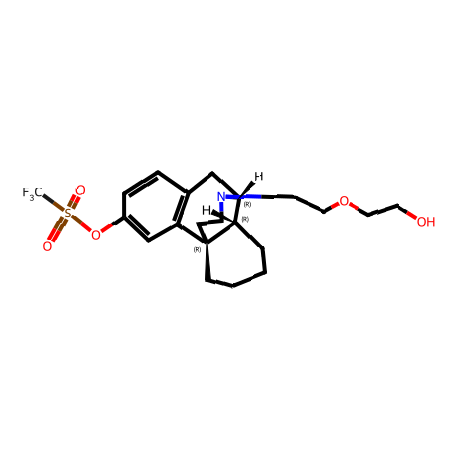 O=S(=O)(Oc1ccc2c(c1)[C@@]13CCCC[C@H]1[C@@H](C2)N(CCOCCO)CC3)C(F)(F)F